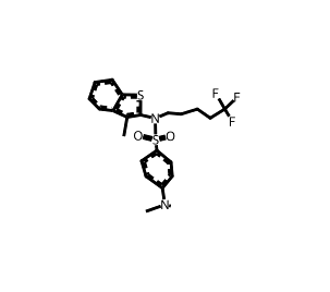 Cc1c(N(CCCCC(F)(F)F)S(=O)(=O)c2ccc(N(C)C)cc2)sc2ccccc12